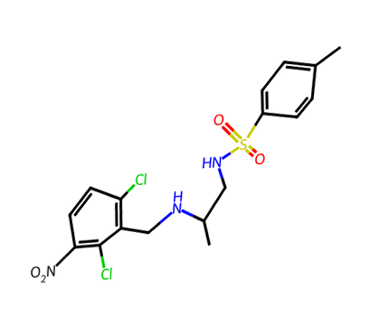 Cc1ccc(S(=O)(=O)NCC(C)NCc2c(Cl)ccc([N+](=O)[O-])c2Cl)cc1